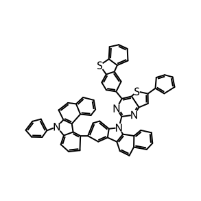 c1ccc(-c2cc3nc(-n4c5ccc(-c6cccc7c6c6c8ccccc8ccc6n7-c6ccccc6)cc5c5ccc6ccccc6c54)nc(-c4ccc5sc6ccccc6c5c4)c3s2)cc1